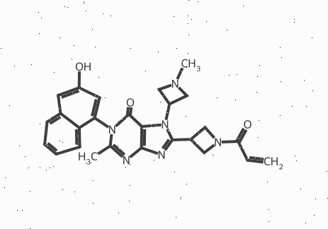 C=CC(=O)N1CC(c2nc3nc(C)n(-c4cc(O)cc5ccccc45)c(=O)c3n2C2CN(C)C2)C1